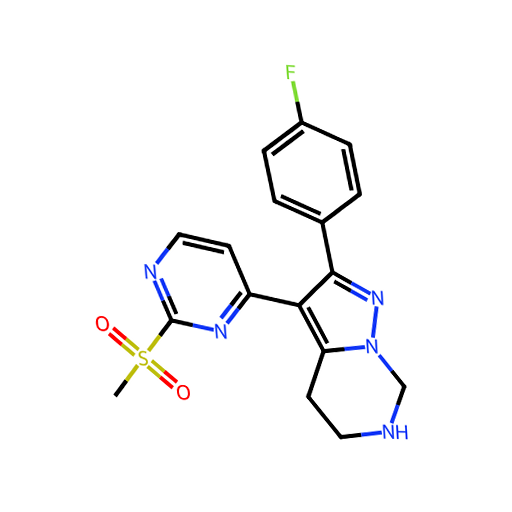 CS(=O)(=O)c1nccc(-c2c(-c3ccc(F)cc3)nn3c2CCNC3)n1